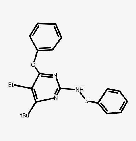 CCc1c(Oc2ccccc2)nc(NSc2ccccc2)nc1C(C)(C)C